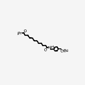 CC(C)COCc1ccc(CNC(=O)CCCCCCCCCCC(=O)C(C)C)cc1